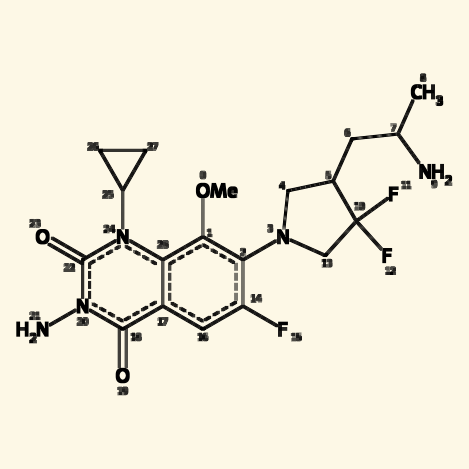 COc1c(N2CC(CC(C)N)C(F)(F)C2)c(F)cc2c(=O)n(N)c(=O)n(C3CC3)c12